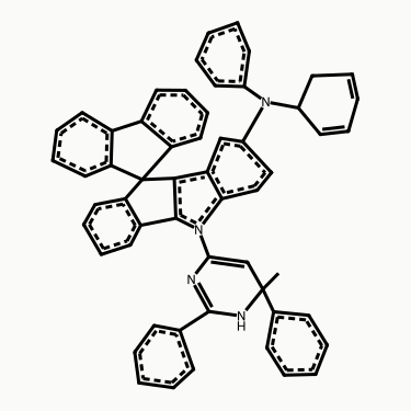 CC1(c2ccccc2)C=C(n2c3c(c4cc(N(c5ccccc5)C5C=CC=CC5)ccc42)C2(c4ccccc4-c4ccccc42)c2ccccc2-3)N=C(c2ccccc2)N1